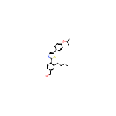 CCCCc1cc(C=O)ccc1-c1ncc(-c2ccc(OC(C)C)cc2)s1